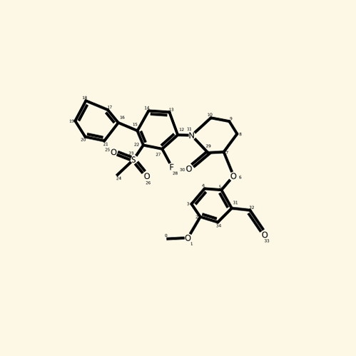 COc1ccc(OC2CCCN(c3ccc(-c4ccccc4)c(S(C)(=O)=O)c3F)C2=O)c(C=O)c1